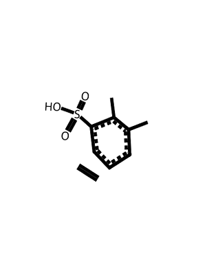 C=C.Cc1cccc(S(=O)(=O)O)c1C